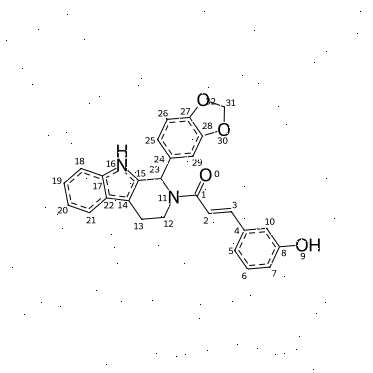 O=C(/C=C/c1cccc(O)c1)N1CCc2c([nH]c3ccccc23)C1c1ccc2c(c1)OCO2